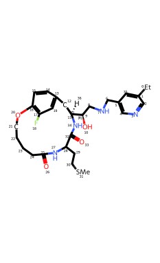 CCc1cncc(CNC[C@@H](O)[C@@H]2Cc3ccc(c(F)c3)OCCCCC(=O)NC(CCSC)C(=O)N2)c1